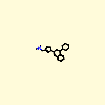 CN(C)CC1=CC(C2=Cc3ccccc3C(C3CCCCC3)C2)C=C1